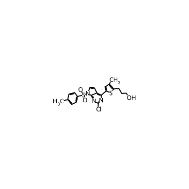 Cc1ccc(S(=O)(=O)n2ccc3c(-c4cc(C)c(CCCO)s4)nc(Cl)nc32)cc1